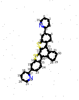 c1ccc(-c2ccc3c(c2)sc2c4sc5cc(-c6ccccn6)ccc5c4c4ccccc4c32)nc1